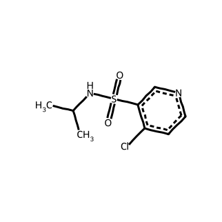 CC(C)NS(=O)(=O)c1cnccc1Cl